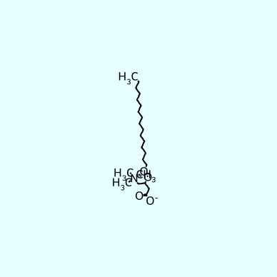 CCCCCCCCCCCCCCCCOOC(CC(=O)[O-])C[N+](C)(C)C